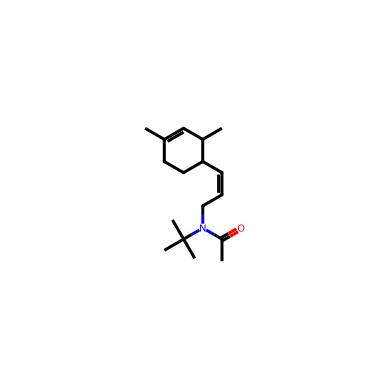 CC(=O)N(C/C=C\C1CCC(C)=CC1C)C(C)(C)C